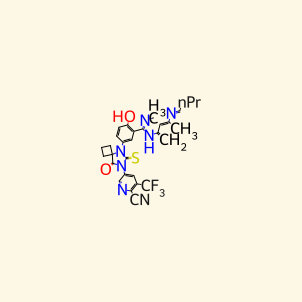 C=C(/C=C(C)/N=C/CCC)N/C(=N\C)c1cc(N2C(=S)N(c3cnc(C#N)c(C(F)(F)F)c3)C(=O)C23CCC3)ccc1O